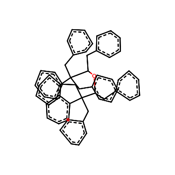 c1ccc(CC(OC(Cc2ccccc2)C(Cc2ccccc2)(Cc2ccccc2)c2ccccc2)C(Cc2ccccc2)(Cc2ccccc2)c2ccccc2)cc1